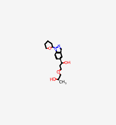 C[C@H](O)COCCC(O)c1ccc2c(cnn2C2CCCCO2)c1